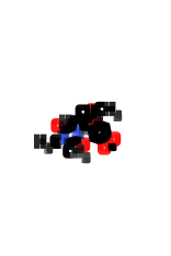 COC(=O)[C@@]1(C)C[C@H]2C(=O)N(C)[C@H](C)C(=O)N2[C@H]1c1ccc2c(c1)OCO2